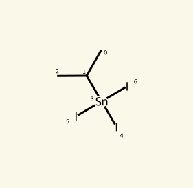 C[CH](C)[Sn]([I])([I])[I]